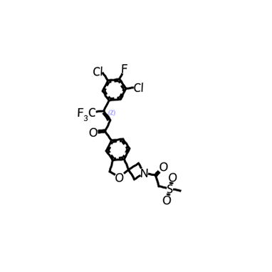 CS(=O)(=O)CC(=O)N1CC2(C1)OCc1cc(C(=O)/C=C(/c3cc(Cl)c(F)c(Cl)c3)C(F)(F)F)ccc12